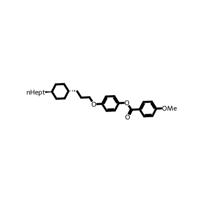 CCCCCCC[C@H]1CC[C@H](CCCOc2ccc(OC(=O)c3ccc(OC)cc3)cc2)CC1